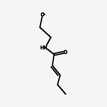 CCC=CC(=O)NCC[O]